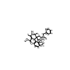 COC(=O)C1=C(C)NC(C)C(CCN(C)Cc2ccccn2)(C(=O)O)C1c1cccc2c1OOC2